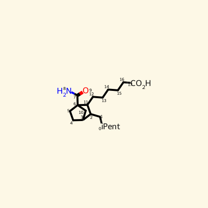 CCCC(C)CC1C2CCC(C(N)=O)(C2)C1CCCCCC(=O)O